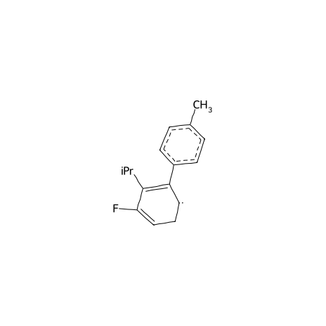 Cc1ccc(C2=C(C(C)C)C(F)=CC[CH]2)cc1